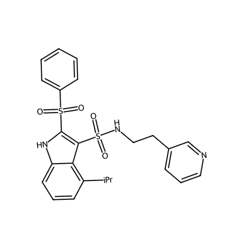 CC(C)c1cccc2[nH]c(S(=O)(=O)c3ccccc3)c(S(=O)(=O)NCCc3cccnc3)c12